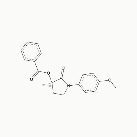 COc1ccc(N2CC[C@@](C)(OC(=O)c3ccccc3)C2=O)cc1